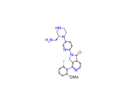 COc1cccc(F)c1-c1nccc2c1CN(c1ccc(N3CCNC[C@@H]3CN)cn1)C2=O